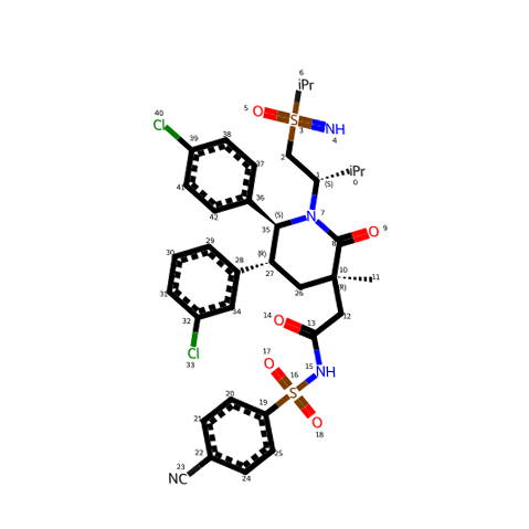 CC(C)[C@@H](CS(=N)(=O)C(C)C)N1C(=O)[C@@](C)(CC(=O)NS(=O)(=O)c2ccc(C#N)cc2)C[C@H](c2cccc(Cl)c2)[C@H]1c1ccc(Cl)cc1